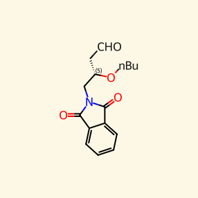 CCCCO[C@@H](CC=O)CN1C(=O)c2ccccc2C1=O